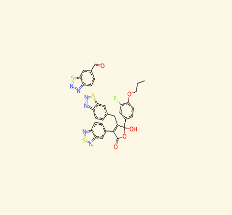 CCCOc1ccc(C2(O)OC(=O)C(c3ccc4nsnc4c3)=C2Cc2ccc3nnsc3c2)cc1F.O=Cc1ccc2nnsc2c1